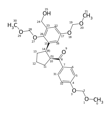 COCOc1ccc(C(=O)[C@H]2CCC[C@H]2c2cc(OCOC)cc(CO)c2OCOC)cc1